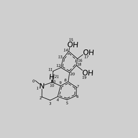 CN1CCc2cccc3c2[C@H]1Cc1cc(O)c(O)c(O)c1-3